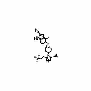 Cc1c(CN2CCC(n3c(C4CC4)cnc3CCC(F)(F)F)CC2)ccc2[nH]c(C#N)cc12